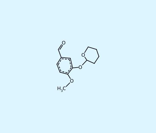 COc1ccc(C=O)cc1OC1CCCCO1